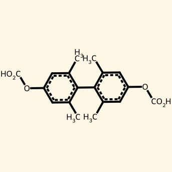 Cc1cc(OC(=O)O)cc(C)c1-c1c(C)cc(OC(=O)O)cc1C